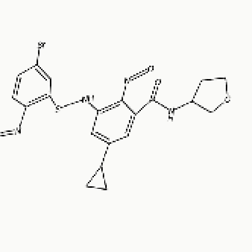 O=Nc1ccc(Br)cc1SNc1cc(C2CC2)cc(C(=O)NC2CCOC2)c1N=O